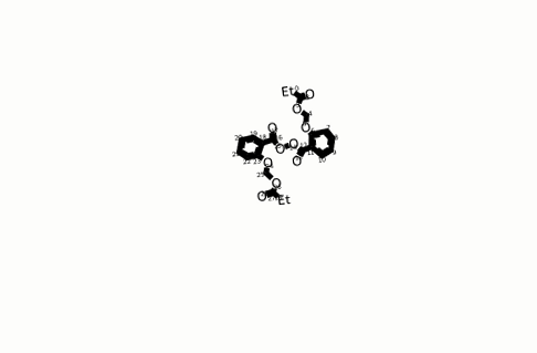 CCC(=O)OCOc1ccccc1C(=O)OOC(=O)c1ccccc1OCOC(=O)CC